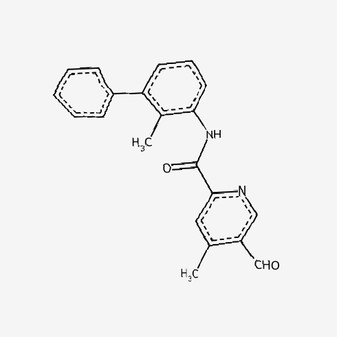 Cc1cc(C(=O)Nc2cccc(-c3ccccc3)c2C)ncc1C=O